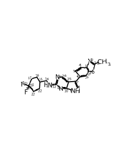 Cc1nc2ccc(-c3c[nH]c4nc(NCC5CCC(F)(F)CC5)ncc34)cc2s1